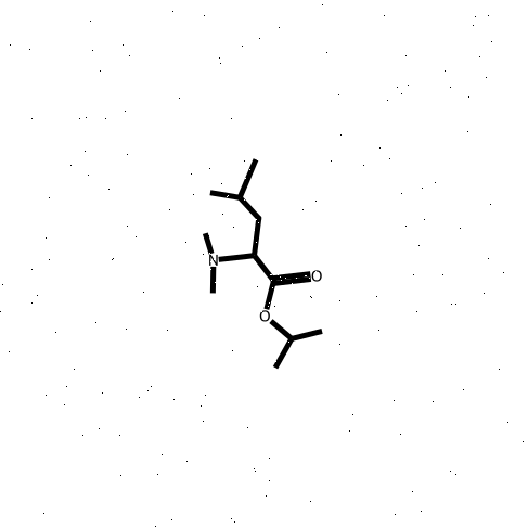 CC(C)CC(C(=O)OC(C)C)N(C)C